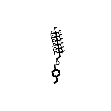 C=Cc1ccc(COCCC(F)(F)C(F)(F)C(F)(F)C(F)(F)C(F)(F)C(F)(F)F)cc1